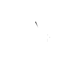 c1ccc2c(c1)CC[C@@]13CCCC[C@@]21CCN3